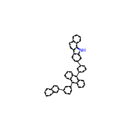 c1cc(-c2ccc3ccccc3c2)cc(-c2c3ccccc3c(-c3cccc(-c4ccc5c(c4)[nH]c4c6ccccc6ccc54)c3)c3ccccc23)c1